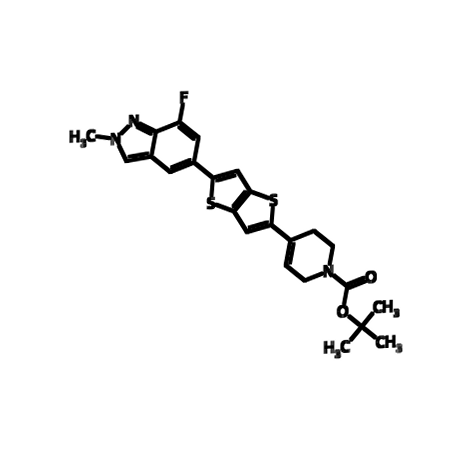 Cn1cc2cc(-c3cc4sc(C5=CCN(C(=O)OC(C)(C)C)CC5)cc4s3)cc(F)c2n1